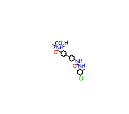 Cc1cc(Cl)ccc1NC(=O)Nc1ccc(-c2ccc(C(=O)NC(C)(C)C(=O)O)cc2)cc1